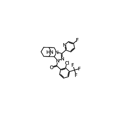 O=C(c1cccc(C(F)(F)F)c1Cl)N1N=C(c2ccc(F)cn2)N2CC3CCCC(N3)C21